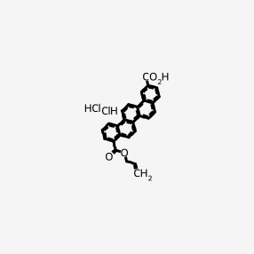 C=CCOC(=O)c1cccc2c1ccc1c2ccc2c3cc(C(=O)O)ccc3ccc21.Cl.Cl